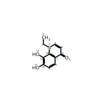 CCn1ccc(=O)c2ccc(O)c(O)c21